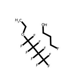 CCOC(F)(F)C(F)(F)C(F)(F)C(F)(F)F.OCCCF